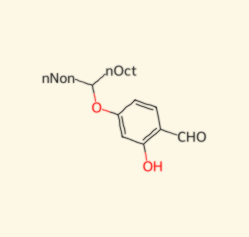 CCCCCCCCCC(CCCCCCCC)Oc1ccc(C=O)c(O)c1